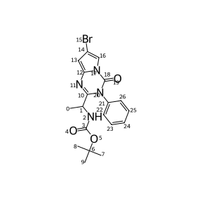 CC(NC(=O)OC(C)(C)C)c1nc2cc(Br)cn2c(=O)n1-c1ccccc1